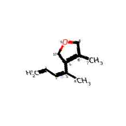 C=C/C=C(/C)C1=C(C)COC1